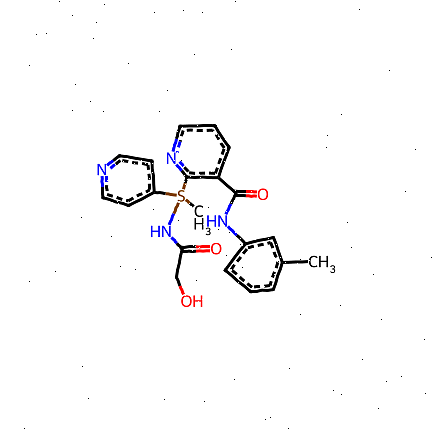 Cc1cccc(NC(=O)c2cccnc2S(C)(NC(=O)CO)c2ccncc2)c1